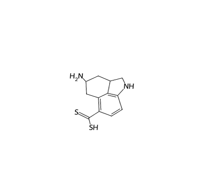 NC1Cc2c(C(=S)S)ccc3c2C(CN3)C1